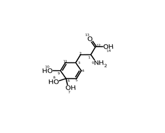 NC(CC1C=CC(O)(O)C(O)=C1)C(=O)O